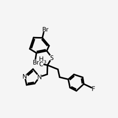 CC(CCc1ccc(F)cc1)(Cn1ccnc1)Sc1cc(Br)ccc1Br